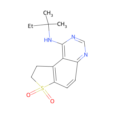 CCC(C)(C)Nc1ncnc2ccc3c(c12)CCS3(=O)=O